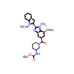 COc1cc(C(=O)N2CCCC(NC(=O)OC(C)(C)C)C2)cc2nc(-c3cc4ccccc4n3CC#N)n(C)c12